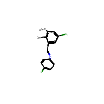 COc1cc(Br)cc(/C=N/c2ccc(F)cc2)c1N=O